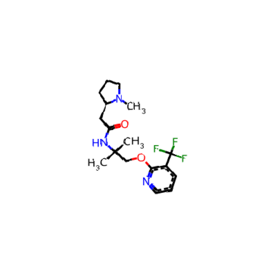 CN1CCC[C@@H]1CC(=O)NC(C)(C)COc1ncccc1C(F)(F)F